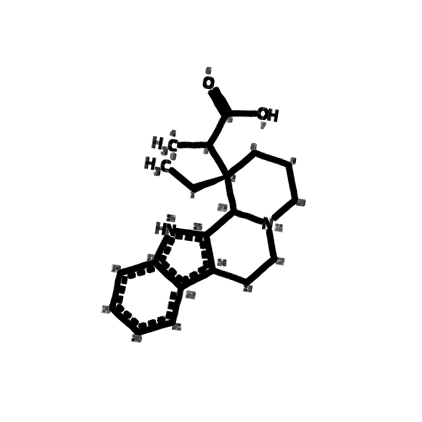 CC[C@@]1(C(C)C(=O)O)CCCN2CCc3c([nH]c4ccccc34)C21